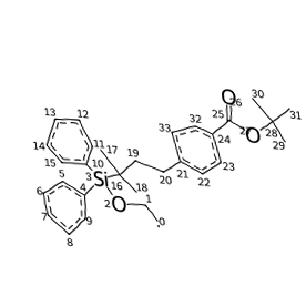 [CH2]CO[Si](c1ccccc1)(c1ccccc1)C(C)(C)CCc1ccc(C(=O)OC(C)(C)C)cc1